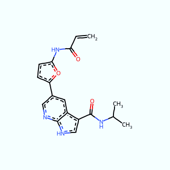 C=CC(=O)Nc1ccc(-c2cnc3[nH]cc(C(=O)NC(C)C)c3c2)o1